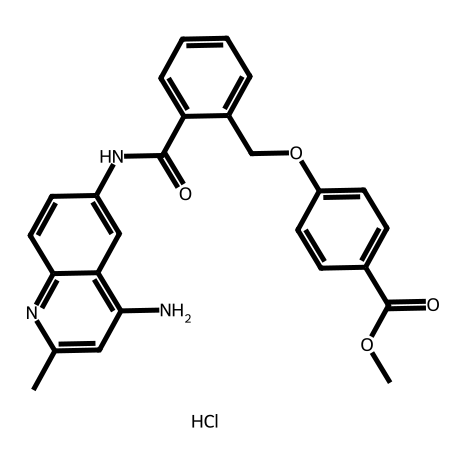 COC(=O)c1ccc(OCc2ccccc2C(=O)Nc2ccc3nc(C)cc(N)c3c2)cc1.Cl